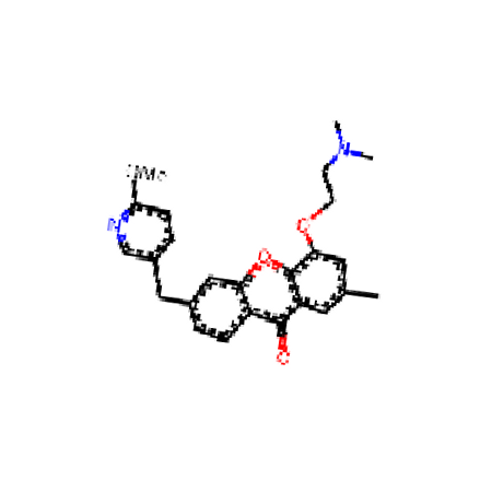 COc1ccc(Cc2ccc3c(=O)c4cc(C)cc(OCCN(C)C)c4oc3c2)cn1